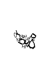 CC(=O)Nc1cc(-c2[nH]c3c(c2Nc2ccccc2)C(=O)CCCC3)ccn1